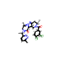 Cc1ccc([C@@H](C)N2C[C@@H](C)n3nc4c(c3C2=O)CN(C(=O)c2ccc(Cl)c(Cl)c2)[C@H](C)C4)nn1